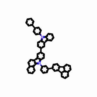 c1ccc(-c2ccc(-n3c4ccccc4c4cc(-c5ccc6c(c5)c5ccc7ccccc7c5n6-c5cccc(-c6ccc7c(c6)-c6cccc8cccc-7c68)c5)ccc43)cc2)cc1